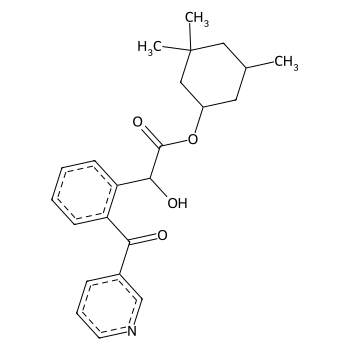 CC1CC(OC(=O)C(O)c2ccccc2C(=O)c2cccnc2)CC(C)(C)C1